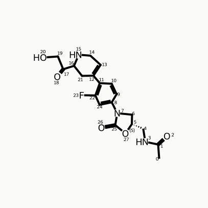 CC(=O)NC[C@H]1CN(c2ccc(C3=CCNC(C(=O)CO)C3)c(F)c2)C(=O)O1